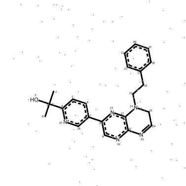 CC(C)(O)c1ccc(-c2cnc3c(n2)N(CCc2ccccc2)CC=N3)cn1